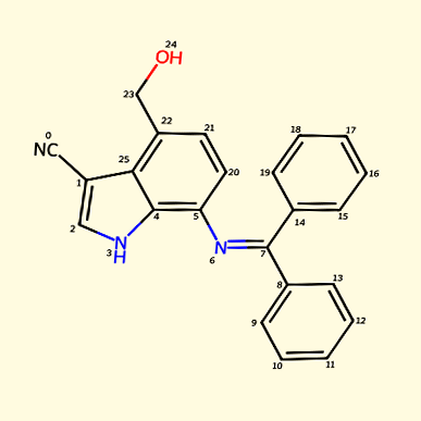 N#Cc1c[nH]c2c(N=C(c3ccccc3)c3ccccc3)ccc(CO)c12